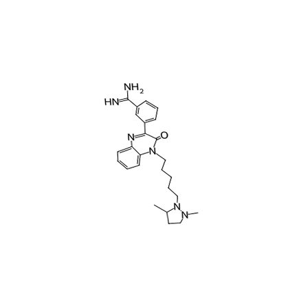 CC1CCN(C)N1CCCCCn1c(=O)c(-c2cccc(C(=N)N)c2)nc2ccccc21